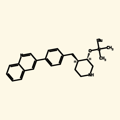 CC(C)(C)[Si](C)(C)O[C@@H]1CNCC[C@H]1Cc1ccc(-c2cnc3ccccc3c2)cc1